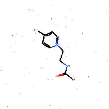 CC(C)C(=O)NCC[n+]1ccc(C(C)C)cc1